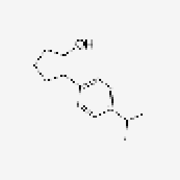 CC(C)c1ccc(C2CCCC2O)cc1